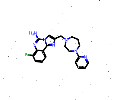 Nc1nc2c(F)cccc2c2nc(CN3CCCN(c4ccccn4)CC3)cn12